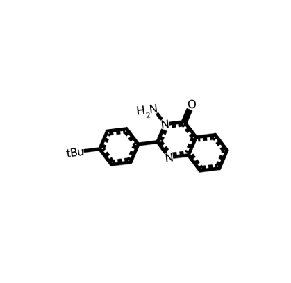 CC(C)(C)c1ccc(-c2nc3ccccc3c(=O)n2N)cc1